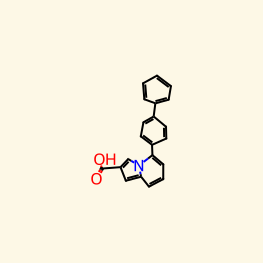 O=C(O)c1cc2cccc(-c3ccc(-c4ccccc4)cc3)n2c1